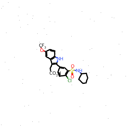 O=C(O)Cc1c(-c2ccc(Cl)c(S(=O)(=O)NC3CCCCC3)c2)[nH]c2ccc(OC(F)(F)F)cc12